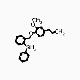 C=CCc1ccc(OCc2ccccc2[SiH2]c2ccccc2)c(OC)c1